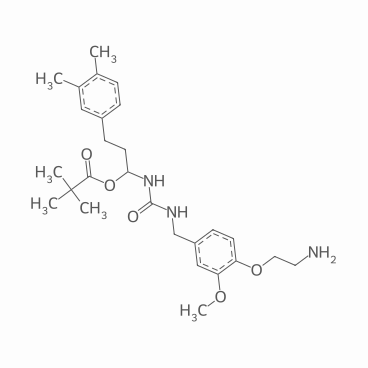 COc1cc(CNC(=O)NC(CCc2ccc(C)c(C)c2)OC(=O)C(C)(C)C)ccc1OCCN